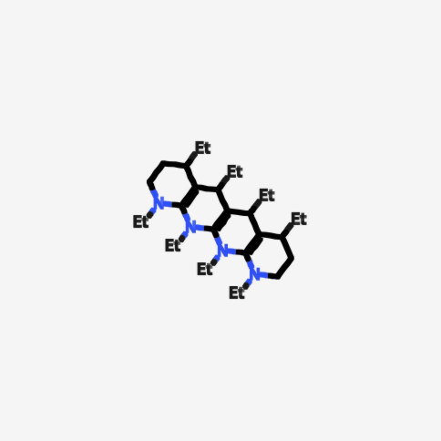 CCC1CCN(CC)C2=C1C(CC)C1=C(N2CC)N(CC)C2=C(C(CC)CCN2CC)C1CC